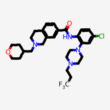 O=C(Nc1ccc(Cl)cc1N1CCN(CCC(F)(F)F)CC1)c1ccc2c(c1)CN(CC1CCOCC1)CC2